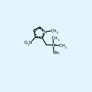 Cn1ccc([N+](=O)[O-])c1C[N+](C)(C)C(C)(C)C